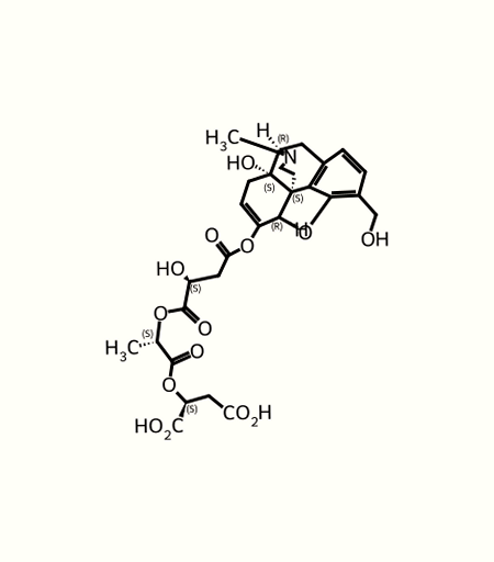 C[C@H](OC(=O)[C@@H](O)CC(=O)OC1=CC[C@@]2(O)[C@H]3Cc4ccc(CO)c5c4[C@@]2(CCN3C)[C@H]1O5)C(=O)O[C@@H](CC(=O)O)C(=O)O